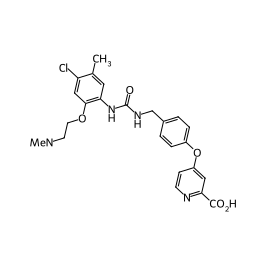 CNCCOc1cc(Cl)c(C)cc1NC(=O)NCc1ccc(Oc2ccnc(C(=O)O)c2)cc1